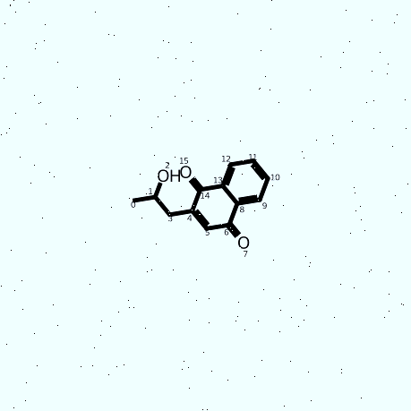 CC(O)CC1=CC(=O)c2ccccc2C1=O